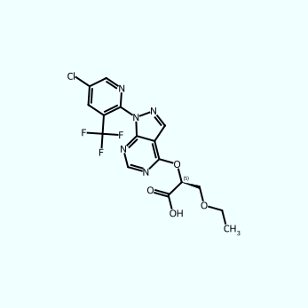 CCOC[C@H](Oc1ncnc2c1cnn2-c1ncc(Cl)cc1C(F)(F)F)C(=O)O